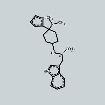 CN(C)C1(c2cccs2)CCC(N[C@@H](Cc2c[nH]c3ccccc23)C(=O)O)CC1